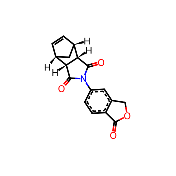 O=C1OCc2cc(N3C(=O)[C@@H]4[C@H](C3=O)[C@@H]3C=C[C@H]4C3)ccc21